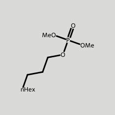 CCCCCCCCCOP(=O)(OC)OC